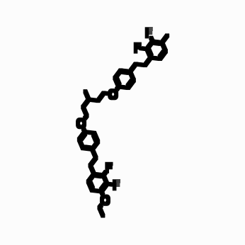 CCOc1ccc(CCc2ccc(OCCC(C)CCOc3ccc(CCc4ccc(C)c(F)c4F)cc3)cc2)c(F)c1F